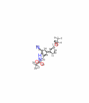 CC(C)[Si](C)(C)OCc1cccc(-c2cc(C#N)cc(CNC(=O)OC(C)(C)C)c2)c1